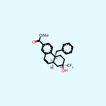 COC(=O)c1ccc2c(c1)C=C[C@@H]1C[C@@](O)(C(F)(F)F)CC[C@@]21Cc1ccccc1